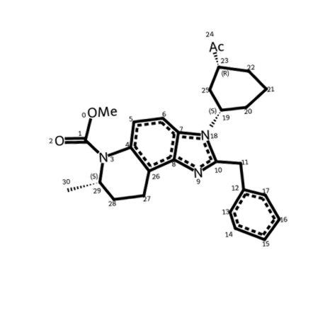 COC(=O)N1c2ccc3c(nc(Cc4ccccc4)n3[C@H]3CCC[C@@H](C(C)=O)C3)c2CC[C@@H]1C